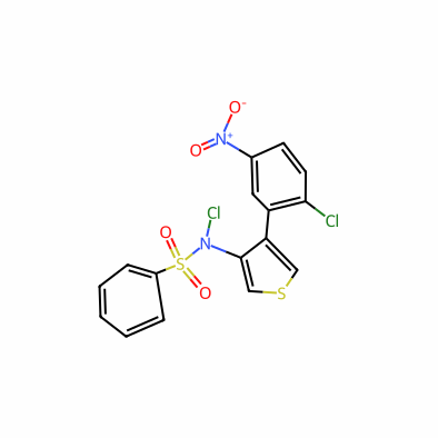 O=[N+]([O-])c1ccc(Cl)c(-c2cscc2N(Cl)S(=O)(=O)c2ccccc2)c1